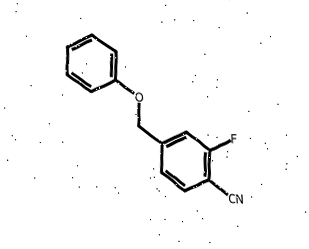 N#Cc1ccc(COc2ccccc2)cc1F